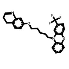 FC(F)(F)c1ccc2c(c1)N(CCCCCOc1ccc3c(c1)N=CCC3)c1ccccc1S2